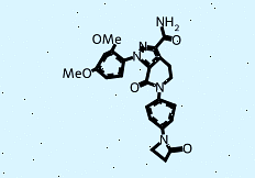 COc1ccc(-n2nc(C(N)=O)c3c2C(=O)N(c2ccc(N4CCC4=O)cc2)CC3)c(OC)c1